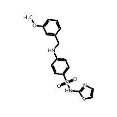 COc1cccc(CNc2ccc(S(=O)(=O)Nc3nccs3)cc2)c1